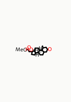 COC(=O)CC1(O)CC[C@H]2[C@@H]3CCC4CC(=O)CC(C)[C@]4(C)[C@@H]3CC[C@@]21C